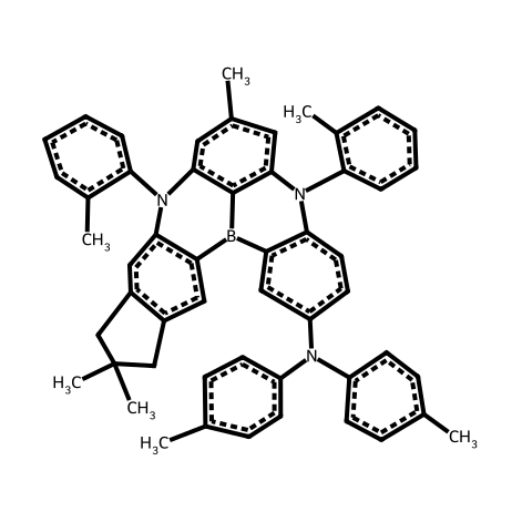 Cc1ccc(N(c2ccc(C)cc2)c2ccc3c(c2)B2c4cc5c(cc4N(c4ccccc4C)c4cc(C)cc(c42)N3c2ccccc2C)CC(C)(C)C5)cc1